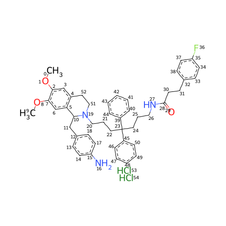 COc1cc2c(cc1OC)C(Cc1ccc(N)cc1)N(CCCC(CCCNC(=O)CCc1ccc(F)cc1)(c1ccccc1)c1ccccc1)CC2.Cl.Cl